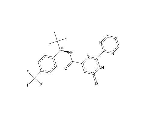 CC(C)(C)[C@@H](NC(=O)c1cc(=O)[nH]c(-c2ncccn2)n1)c1ccc(C(F)(F)F)cc1